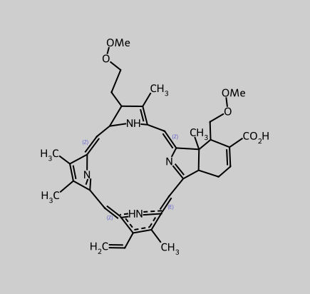 C=Cc1c(C)/c2[nH]/c1=C\C1=NC(=C\C3NC(=C(C)C3CCOOC)/C=C3N=C(/C=2)C2CC=C(C(=O)O)C(COOC)C\32C)/C(C)=C1C